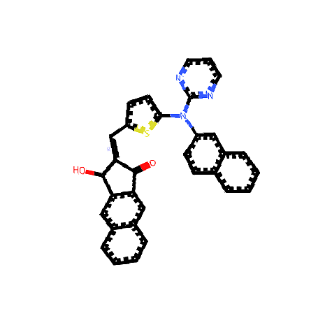 O=C1/C(=C\c2ccc(N(c3ccc4ccccc4c3)c3ncccn3)s2)C(O)c2cc3ccccc3cc21